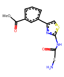 COC(=O)c1cccc(-c2csc(NC(=O)CN)n2)c1